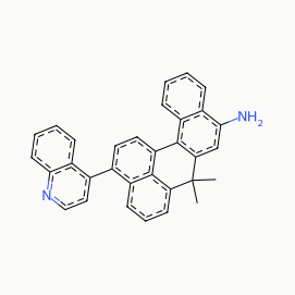 CC1(C)c2cc(N)c3ccccc3c2-c2ccc(-c3ccnc4ccccc34)c3cccc1c23